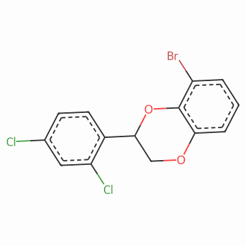 Clc1ccc(C2COc3cccc(Br)c3O2)c(Cl)c1